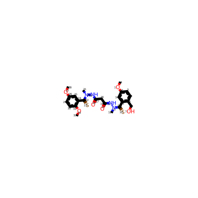 COc1ccc(CO)c(C(=S)N(C)NC(=O)CC(=O)NN(C)C(=S)c2cc(OC)ccc2OC)c1